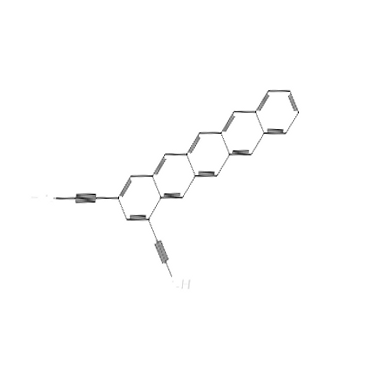 [SiH3]C#Cc1[c]c(C#C[SiH3])c2cc3cc4cc5cc[c]cc5cc4cc3cc2c1